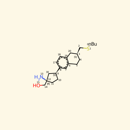 CCCCSC[C@H]1CCc2cc([C@H]3CC[C@](N)(CO)C3)ccc2C1